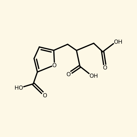 O=C(O)CC(Cc1ccc(C(=O)O)o1)C(=O)O